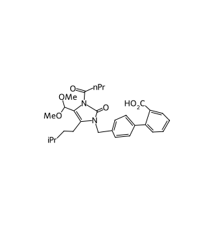 CCCC(=O)n1c(C(OC)OC)c(CCC(C)C)n(Cc2ccc(-c3ccccc3C(=O)O)cc2)c1=O